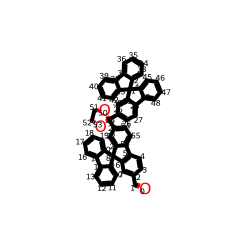 O=Cc1ccc2c(c1)C1(c3ccccc3-c3ccccc31)c1cc(C3(c4ccc5c(c4)C4(c6ccccc6-c6ccccc64)c4ccccc4-5)OCCO3)ccc1-2